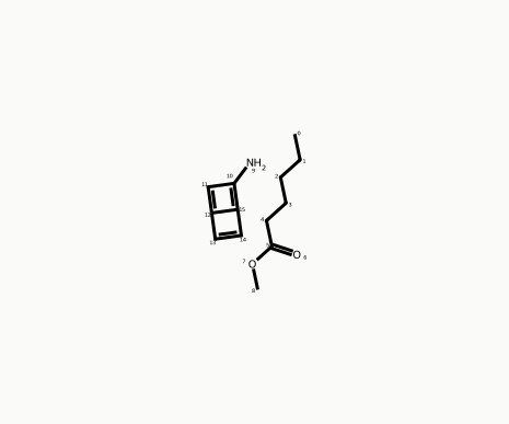 CCCCCC(=O)OC.Nc1cc2ccc1-2